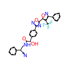 N#CC(CNC(=O)C(O)c1ccc(-c2noc(-c3onc(-c4ccccc4)c3C(F)(F)F)n2)cc1)c1ccccc1